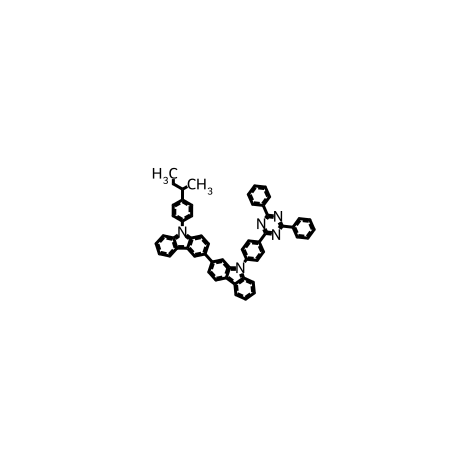 CCC(C)c1ccc(-n2c3ccccc3c3cc(-c4ccc5c6ccccc6n(-c6ccc(-c7nc(-c8ccccc8)nc(-c8ccccc8)n7)cc6)c5c4)ccc32)cc1